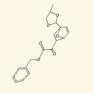 CC1COC(C23C=CC(O2)C(C(=O)C(=O)OCc2ccccc2)C3)O1